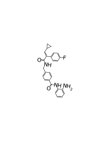 Nc1ccccc1NC(=O)c1ccc(CNC(=O)/C(=C/C2CC2)c2ccc(F)cc2)cc1